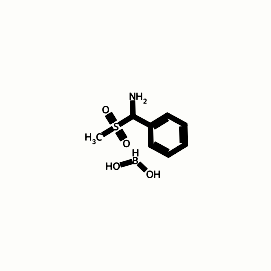 CS(=O)(=O)C(N)c1ccccc1.OBO